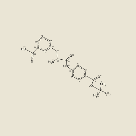 CC(C)(C)OC(=O)c1ccc(NC(=O)C(N)Cc2cccc(C(=O)O)c2)cc1